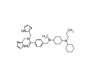 CCCN(C1CCCCC1)C1CCC(N(C)Cc2ccc(C(=O)N(Cc3ncc[nH]3)Cc3ncc[nH]3)cc2)CC1